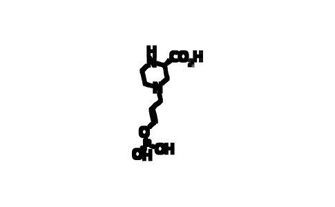 O=C(O)[C@H]1CN(C/C=C/O[PH](=O)O)CCN1